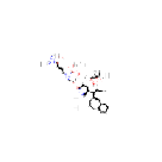 CC1Cc2ccccc2C=C(/C(=C(\CC(F)(F)F)B2OC(C)(C)C(C)(C)O2)c2ccc(OCCN(C/C=C/C(=O)N(C)C)C(=O)OC(C)(C)C)nc2)C1C